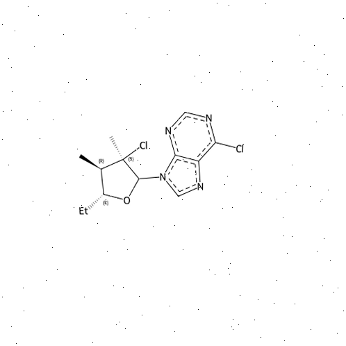 CC[C@H]1OC(n2cnc3c(Cl)ncnc32)[C@](C)(Cl)[C@@H]1C